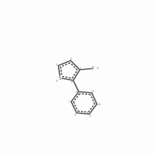 Fc1ccsc1-c1ccccc1